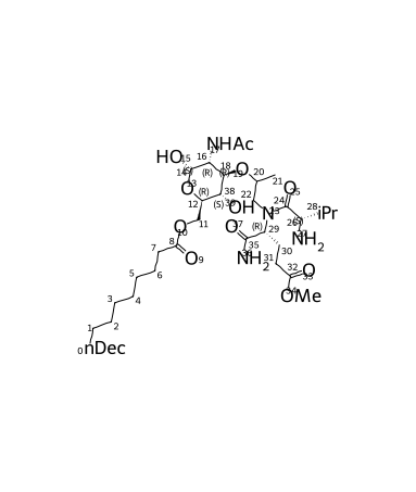 CCCCCCCCCCCCCCCCCC(=O)OC[C@H]1O[C@H](O)[C@H](NC(C)=O)[C@@H](OC(C)CN(C(=O)[C@@H](N)C(C)C)[C@H](CCC(=O)OC)C(N)=O)[C@@H]1O